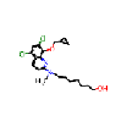 CN(CCCCCCCCO)c1ccc2c(Cl)cc(Cl)c(OCC3CC3)c2n1